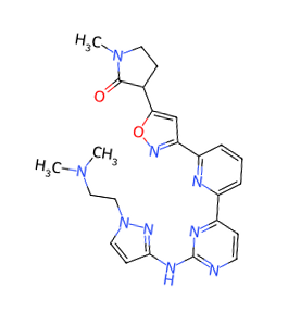 CN(C)CCn1ccc(Nc2nccc(-c3cccc(-c4cc(C5CCN(C)C5=O)on4)n3)n2)n1